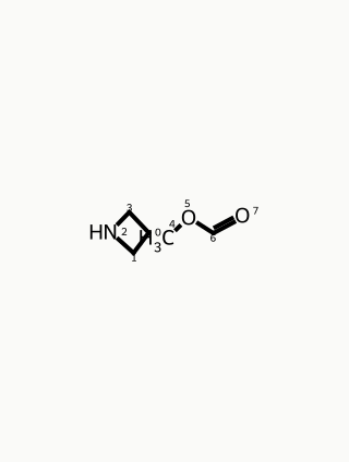 C1CNC1.COC=O